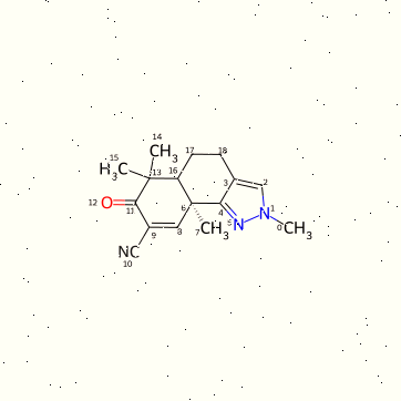 Cn1cc2c(n1)[C@@]1(C)C=C(C#N)C(=O)C(C)(C)C1CC2